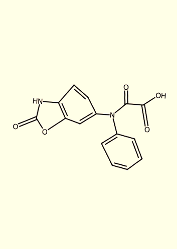 O=C(O)C(=O)N(c1ccccc1)c1ccc2[nH]c(=O)oc2c1